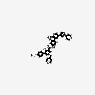 Cc1ccc(-c2cn(CC3CCOCC3)cc(C(=O)Nc3ccc(-c4cc(-c5cnn(C6CCOCC6)c5)cnc4N)c(F)c3)c2=O)cc1